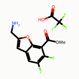 COC(=O)c1c(F)c(F)cc2cc(CN)oc12.O=C(O)C(F)(F)F